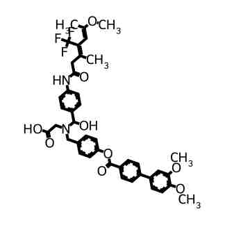 CO/C(C)=C/C(=C(\C)CC(=O)Nc1ccc(C(O)N(CC(=O)O)Cc2ccc(OC(=O)c3ccc(-c4ccc(OC)c(OC)c4)cc3)cc2)cc1)C(F)(F)F